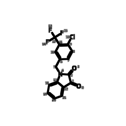 O=C1C(=O)N(Cc2ccc(Cl)c(C(F)(F)F)c2)c2ccccc21